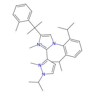 Cc1ccccc1C(C)(C)c1cn(-c2c(C(C)C)cccc2C(C)C)c(-c2ccn(C(C)C)[n+]2C)[n+]1C